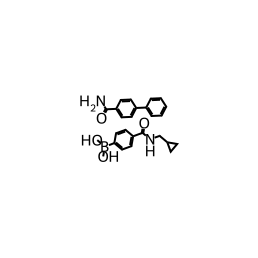 NC(=O)c1ccc(-c2ccccc2)cc1.O=C(NCC1CC1)c1ccc(B(O)O)cc1